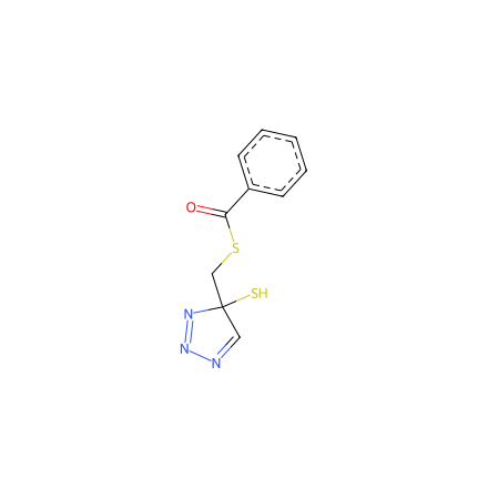 O=C(SCC1(S)C=NN=N1)c1ccccc1